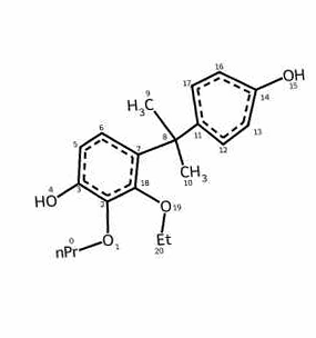 CCCOc1c(O)ccc(C(C)(C)c2ccc(O)cc2)c1OCC